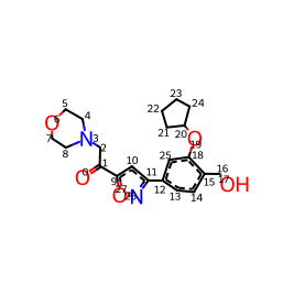 O=C(CN1CCOCC1)c1cc(-c2ccc(CO)c(OC3CCCC3)c2)no1